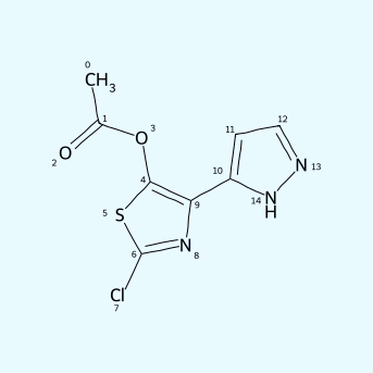 CC(=O)Oc1sc(Cl)nc1-c1ccn[nH]1